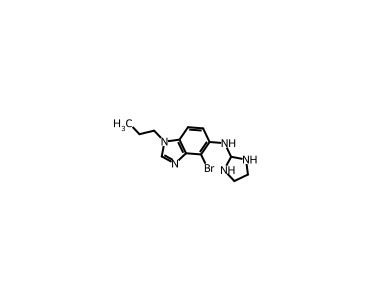 CCCn1cnc2c(Br)c(NC3NCCN3)ccc21